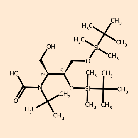 CC(C)(C)N(C(=O)O)[C@@H](CO)[C@@H](CO[Si](C)(C)C(C)(C)C)O[Si](C)(C)C(C)(C)C